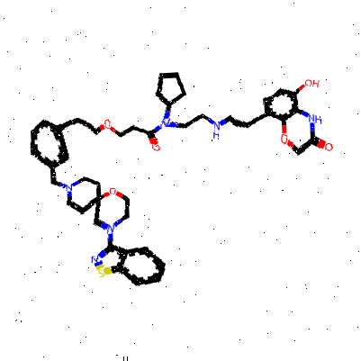 O=C1COc2c(CCNCCN(C(=O)CCOCCc3cccc(CN4CCC5(CC4)CN(c4nsc6ccccc46)CCO5)c3)C3CCCC3)ccc(O)c2N1